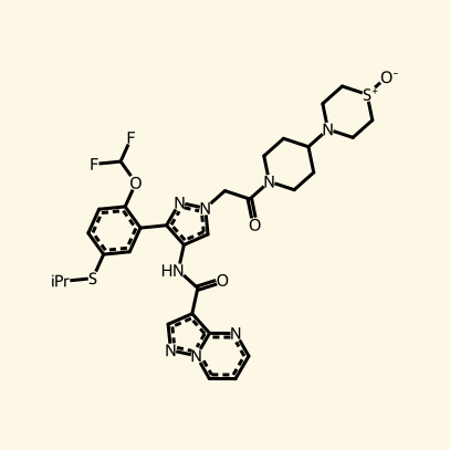 CC(C)Sc1ccc(OC(F)F)c(-c2nn(CC(=O)N3CCC(N4CC[S+]([O-])CC4)CC3)cc2NC(=O)c2cnn3cccnc23)c1